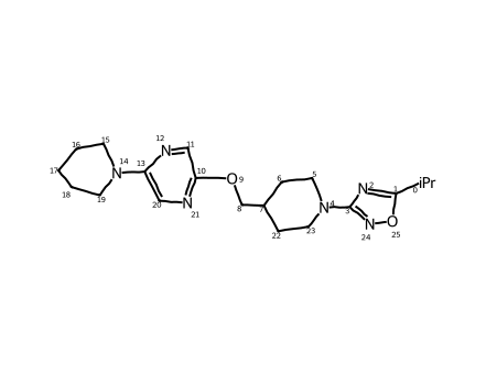 CC(C)c1nc(N2CCC(COc3cnc(N4CCCCC4)cn3)CC2)no1